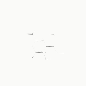 CCCc1c(N)c(Cl)cc(C(=O)O)c1OC